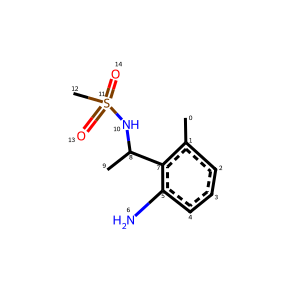 Cc1cccc(N)c1C(C)NS(C)(=O)=O